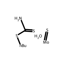 CCCCSC(N)=S.O.[S]=[Mo]